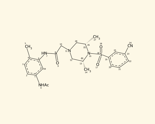 CC(=O)Nc1ccc(C)c(NC(=O)CN2C[C@@H](C)N(S(=O)(=O)c3cccc(C#N)c3)[C@@H](C)C2)c1